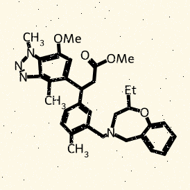 CCC1CN(Cc2cc(C(CC(=O)OC)c3cc(OC)c4c(nnn4C)c3C)ccc2C)Cc2ccccc2O1